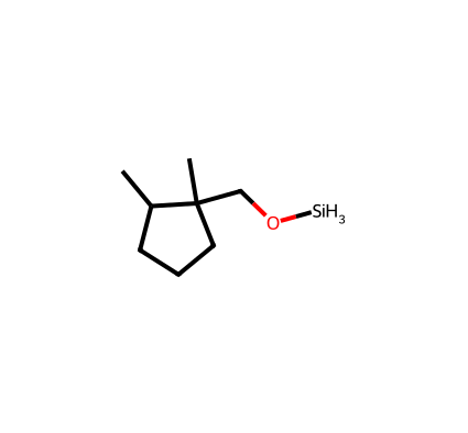 CC1CCCC1(C)CO[SiH3]